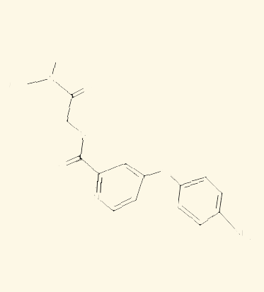 CN(C)C(=O)CNC(=O)c1cc(Oc2ccc(N)cc2)ccn1